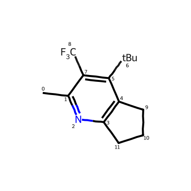 Cc1nc2c(c(C(C)(C)C)c1C(F)(F)F)CCC2